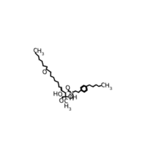 CCCCCCCC(=O)CCCCCC/C=C/[C@H](C(=O)NCCc1ccc(CCCCC)cc1)[C@](C)(O)C(=O)O